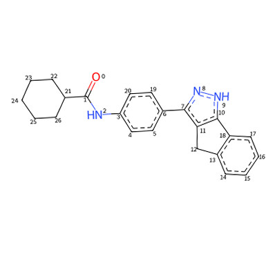 O=C(Nc1ccc(-c2n[nH]c3c2Cc2ccccc2-3)cc1)C1CCCCC1